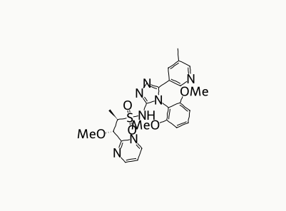 COc1cccc(OC)c1-n1c(NS(=O)(=O)[C@H](C)[C@@H](OC)c2ncccn2)nnc1-c1cncc(C)c1